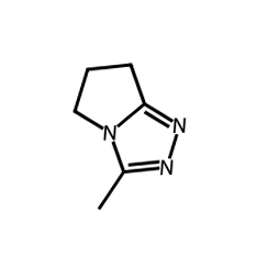 Cc1nnc2n1CCC2